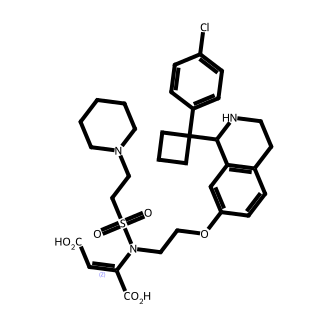 O=C(O)/C=C(/C(=O)O)N(CCOc1ccc2c(c1)C(C1(c3ccc(Cl)cc3)CCC1)NCC2)S(=O)(=O)CCN1CCCCC1